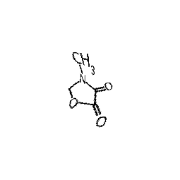 CN1COC(=O)C1=O